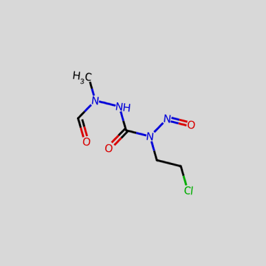 CN(C=O)NC(=O)N(CCCl)N=O